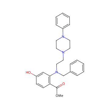 COC(=O)c1ccc(O)cc1N(CCN1CCN(c2ccccc2)CC1)Cc1ccccc1